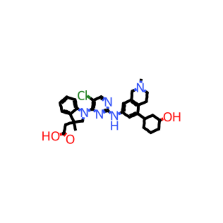 CN1CCc2c(cc(Nc3ncc(Cl)c(N4CC(C)(CC(=O)O)c5ccccc54)n3)cc2C2CCCC(O)C2)C1